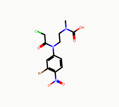 CN(CCN(C(=O)CCl)c1ccc([N+](=O)[O-])c(Br)c1)C(=O)O